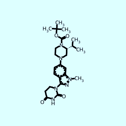 CC(C)[C@@H]1CN(c2ccc3c(N4CCC(=O)NC4=O)nn(C)c3c2)CCN1C(=O)OC(C)(C)C